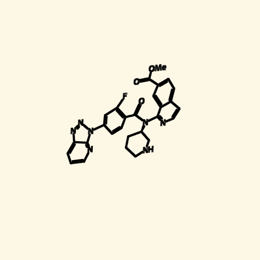 COC(=O)c1ccc2ccnc(N(C(=O)c3ccc(-n4nnc5cccnc54)cc3F)[C@@H]3CCCNC3)c2c1